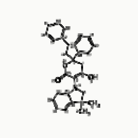 CC1(C)CN(C2=C(O)CC(CCc3ccccc3)(c3ccccc3)OC2=O)c2ccccc21